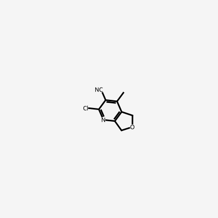 Cc1c(C#N)c(Cl)nc2c1COC2